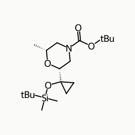 C[C@@H]1CN(C(=O)OC(C)(C)C)C[C@H](C2(O[Si](C)(C)C(C)(C)C)CC2)O1